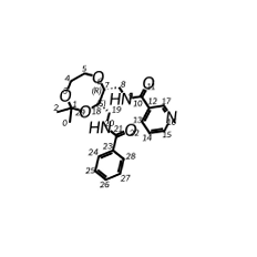 CC1(C)OCCO[C@H](CNC(=O)c2cccnc2)[C@H](CNC(=O)c2ccccc2)O1